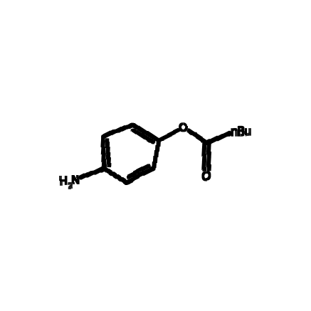 CCCCC(=O)Oc1ccc(N)cc1